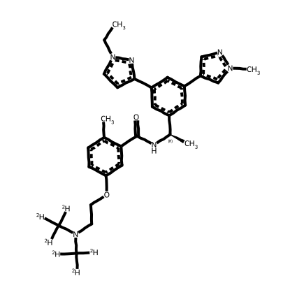 [2H]C([2H])([2H])N(CCOc1ccc(C)c(C(=O)N[C@H](C)c2cc(-c3cnn(C)c3)cc(-c3ccn(CC)n3)c2)c1)C([2H])([2H])[2H]